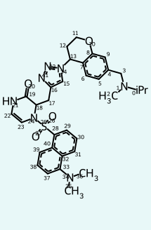 CC(C)N(C)Cc1ccc2c(c1)OCCC2n1cc(CC2C(=O)NC=CN2S(=O)(=O)c2cccc3c(N(C)C)cccc23)nn1